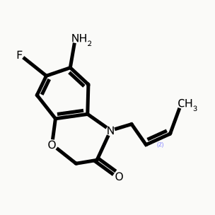 C/C=C\CN1C(=O)COc2cc(F)c(N)cc21